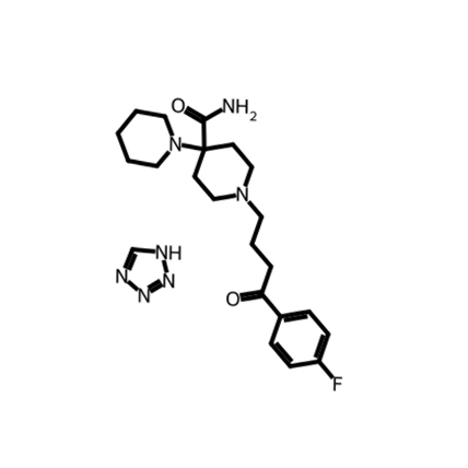 NC(=O)C1(N2CCCCC2)CCN(CCCC(=O)c2ccc(F)cc2)CC1.c1nnn[nH]1